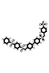 CS(=O)(=O)c1ccc(CS(=O)(=O)c2ccc(-c3ccc(CS(=O)(=O)c4ccc(S(=O)(=O)c5ccccc5)cc4)cc3)cc2)cc1